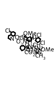 COC(=O)c1cc(Oc2ccc(Cl)cc2Cl)ccc1[N+](=O)[O-].COc1nc(C)nc(N(C)C(=O)NS(=O)(=O)c2ccccc2C(=O)O)n1.O=C(O)COc1ccc(Cl)c2cccnc12